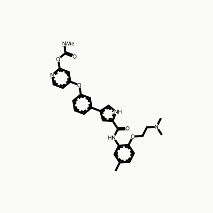 CNC(=O)Oc1cc(Oc2cccc(-c3c[nH]c(C(=O)Nc4cc(C)ccc4OCCN(C)C)c3)c2)ccn1